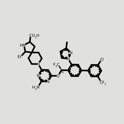 CCC1NC(C(=O)O)CC12CCN(c1cc(O[C@H](c3ccc(-c4cc(Cl)cc(C(F)(F)F)c4)cc3-n3ccc(C)n3)C(F)(F)F)nc(N)n1)CC2